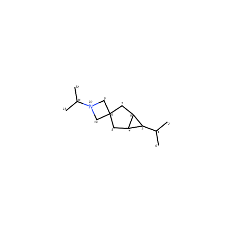 CC(C)C1C2CC3(CC21)CN(C(C)C)C3